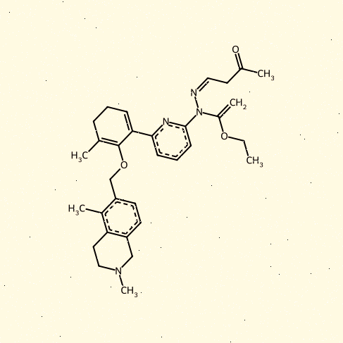 C=C(OCC)N(/N=C\CC(C)=O)c1cccc(C2=CCCC(C)=C2OCc2ccc3c(c2C)CCN(C)C3)n1